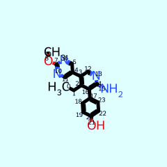 CCc1c(-c2cnc(OC)nc2)cnc(N)c1-c1ccc(O)cc1